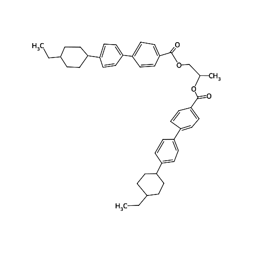 CCC1CCC(c2ccc(-c3ccc(C(=O)OCC(C)OC(=O)c4ccc(-c5ccc(C6CCC(CC)CC6)cc5)cc4)cc3)cc2)CC1